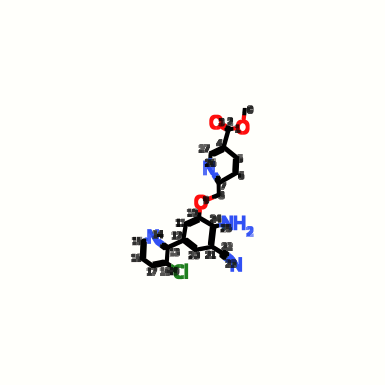 COC(=O)c1ccc(COc2cc(-c3ncccc3Cl)cc(C#N)c2N)nc1